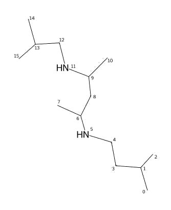 CC(C)CCNC(C)CC(C)NCC(C)C